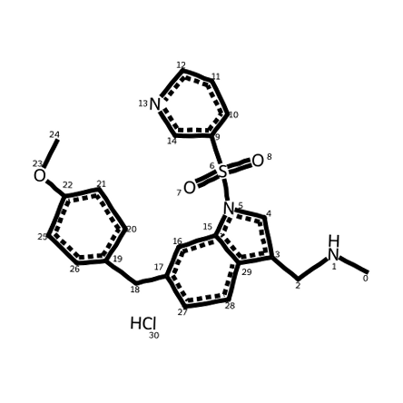 CNCc1cn(S(=O)(=O)c2cccnc2)c2cc(Cc3ccc(OC)cc3)ccc12.Cl